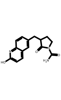 NC(=O)N1CC[C](Cc2ccc3nc(O)ccc3c2)C1=O